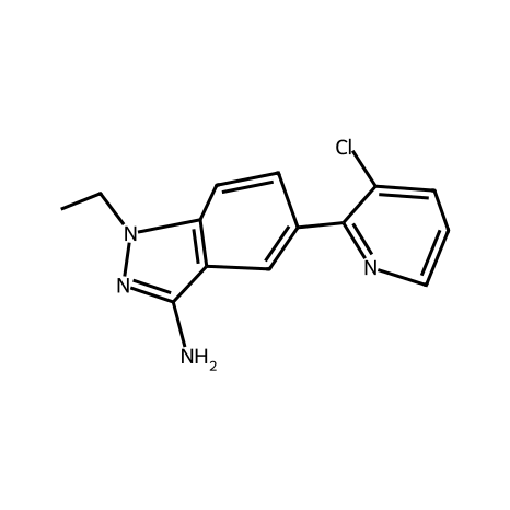 CCn1nc(N)c2cc(-c3ncccc3Cl)ccc21